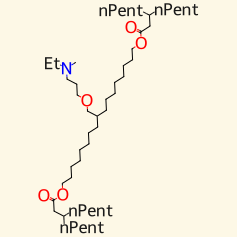 CCCCCC(CCCCC)CC(=O)OCCCCCCCCC(CCCCCCCCOC(=O)CC(CCCCC)CCCCC)COCCCN(C)CC